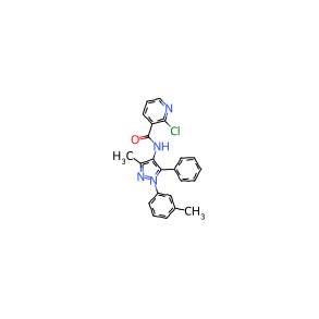 Cc1cccc(-n2nc(C)c(NC(=O)c3cccnc3Cl)c2-c2ccccc2)c1